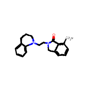 O=C(O)c1cccc2c1C(=O)N(CCN1CCCc3ccccc31)C2